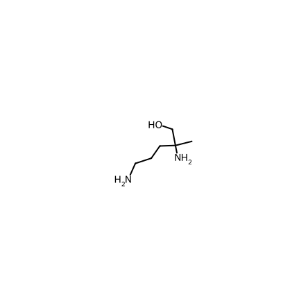 CC(N)(CO)CCCN